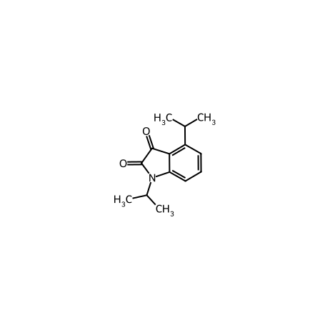 CC(C)c1cccc2c1C(=O)C(=O)N2C(C)C